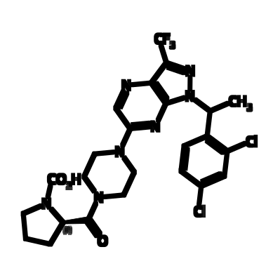 CC(c1ccc(Cl)cc1Cl)n1nc(C(F)(F)F)c2ncc(N3CCN(C(=O)[C@H]4CCCN4C(=O)O)CC3)nc21